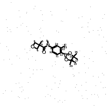 CN(C(=O)C1(C)COC1)c1ccc(B2OC(C)(C)C(C)(C)O2)c(F)c1